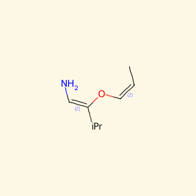 C/C=C\O/C(=C\N)C(C)C